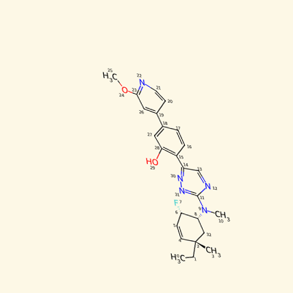 CC[C@]1(C)C=C[C@H](F)[C@H](N(C)c2ncc(-c3ccc(-c4ccnc(OC)c4)cc3O)nn2)C1